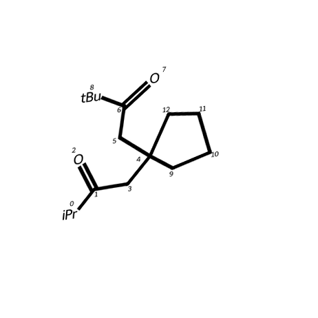 CC(C)C(=O)CC1(CC(=O)C(C)(C)C)CCCC1